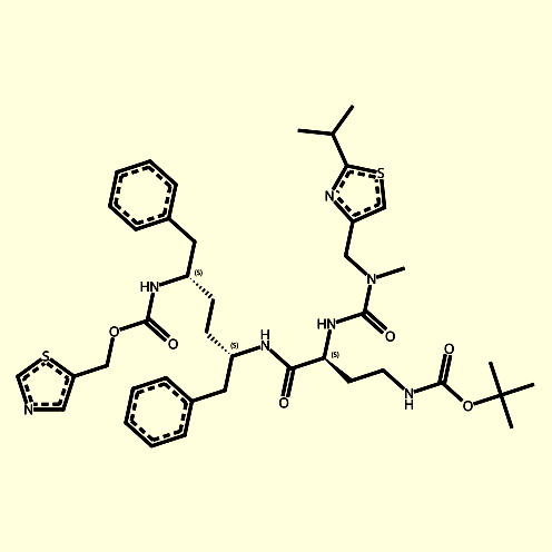 CC(C)c1nc(CN(C)C(=O)N[C@@H](CCNC(=O)OC(C)(C)C)C(=O)N[C@@H](CC[C@@H](Cc2ccccc2)NC(=O)OCc2cncs2)Cc2ccccc2)cs1